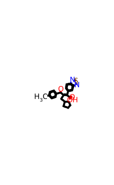 Cc1ccc(C(=O)C(CC2CCCC2)=C(C(=O)O)c2ccc3nsnc3c2)cc1